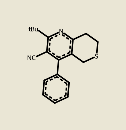 CC(C)(C)c1nc2c(c(-c3ccccc3)c1C#N)CSCC2